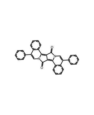 O=C1C2=C3c4ccccc4C(c4ccccc4)=CN3C(=O)C2=C2c3ccccc3C(c3ccccc3)=CN12